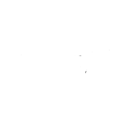 BCC(=O)N[C@]12CC[C@@H](C(C)C)C1[C@H]1CCC3[C@@]4(C)CC=C(c5ccc(C(=O)OC)cc5)C(C)(C)C4CC[C@@]3(C)[C@]1(C)CC2